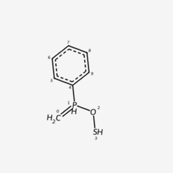 C=[PH](OS)c1ccccc1